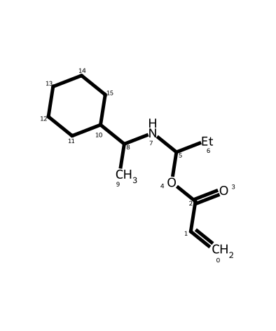 C=CC(=O)OC(CC)NC(C)C1CCCCC1